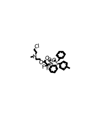 Cc1ccc(S(OS(=O)(=O)C(F)(F)C(=O)OCCN(C)CCCl)(c2ccccc2)c2ccccc2)cc1